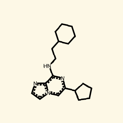 c1cn2cc(C3CCCC3)nc(NCCC3CCCCC3)c2n1